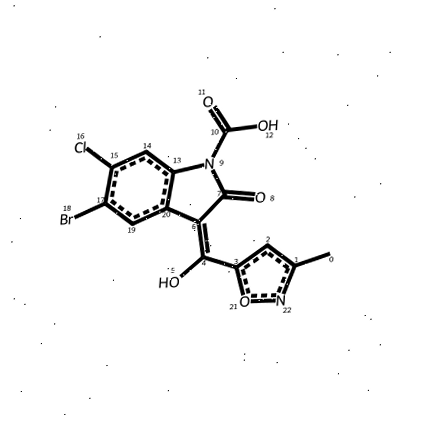 Cc1cc(C(O)=C2C(=O)N(C(=O)O)c3cc(Cl)c(Br)cc32)on1